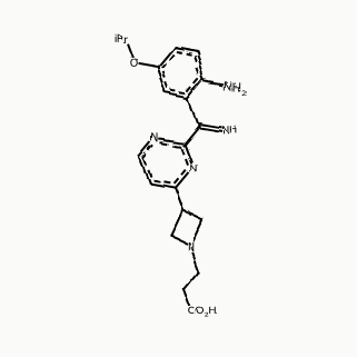 CC(C)Oc1ccc(N)c(C(=N)c2nccc(C3CN(CCC(=O)O)C3)n2)c1